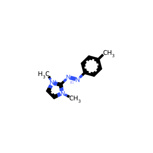 Cc1ccc(/N=N/c2n(C)cc[n+]2C)cc1